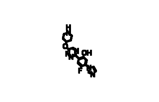 Oc1cc(-n2ccnc2)c(F)cc1-c1ncc(OC2CCNCC2)nn1